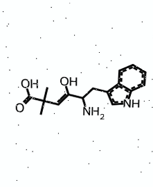 CC(C)(C=C(O)C(N)Cc1c[nH]c2ccccc12)C(=O)O